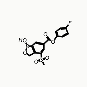 CS(=O)(=O)c1cc(C(=O)Oc2ccc(F)cc2)cc2c1COB2O